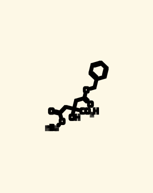 CCCCOC(=O)CC(O)(CC(=O)OCc1ccccc1)C(=O)O